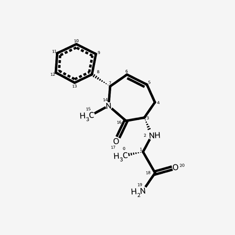 C[C@H](N[C@H]1CC=C[C@@H](c2ccccc2)N(C)C1=O)C(N)=O